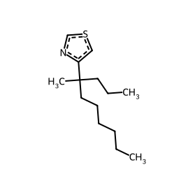 CCCCCCC(C)(CCC)c1cscn1